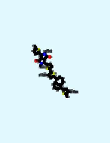 CCCCCCCCN1C(=O)C2=C(c3ccc(-c4sc(C5=CC=CC6=C(c7cc(CCCCCC)c(C)s7)C=CC=C5C6)cc4CCCCCC)s3)N(CCCCCCCC)C(=O)C2=C1c1ccc(C)s1